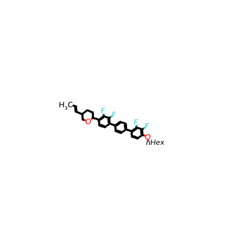 C/C=C/C1CCC(c2ccc(-c3ccc(-c4ccc(OCCCCCC)c(F)c4F)cc3)c(F)c2F)OC1